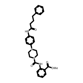 COC(=O)c1ccccc1NC(=O)N1CCN(c2ccc(NC(=O)CCCc3ccccc3)cc2)CC1